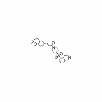 CC1(C)C=Cc2cc(/C=C/C(=O)N3CCN(S(=O)(=O)c4cccc5cnccc45)CC3)ccc2O1